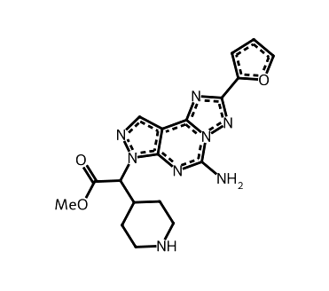 COC(=O)C(C1CCNCC1)n1ncc2c1nc(N)n1nc(-c3ccco3)nc21